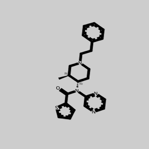 C[C@H]1CN(CCc2ccccc2)CC[C@@H]1N(C(=O)c1cccs1)c1cnccn1